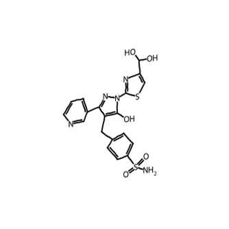 NS(=O)(=O)c1ccc(Cc2c(-c3cccnc3)nn(-c3nc(C(O)O)cs3)c2O)cc1